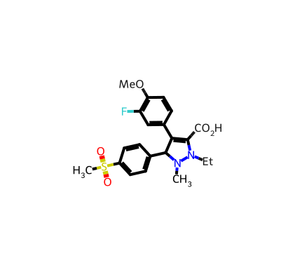 CCN1C(C(=O)O)=C(c2ccc(OC)c(F)c2)C(c2ccc(S(C)(=O)=O)cc2)N1C